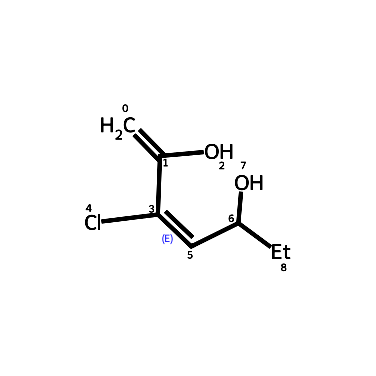 C=C(O)/C(Cl)=C\C(O)CC